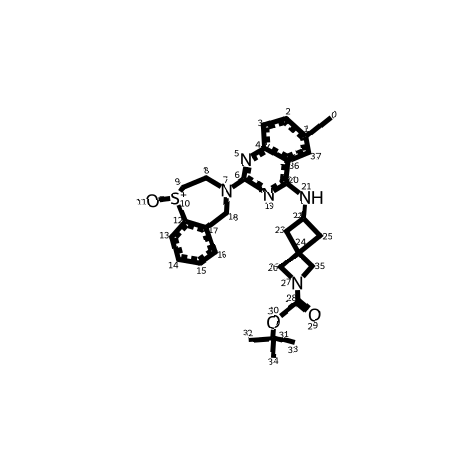 Cc1ccc2nc(N3CC[S+]([O-])c4ccccc4C3)nc(NC3CC4(C3)CN(C(=O)OC(C)(C)C)C4)c2c1